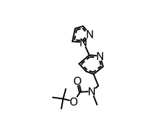 CN(Cc1ccc(-n2cccn2)nc1)C(=O)OC(C)(C)C